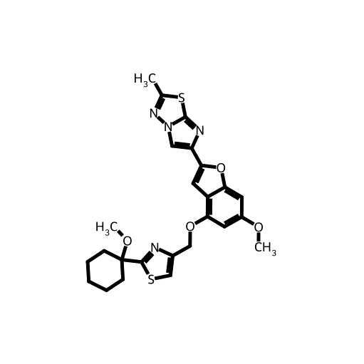 COc1cc(OCc2csc(C3(OC)CCCCC3)n2)c2cc(-c3cn4nc(C)sc4n3)oc2c1